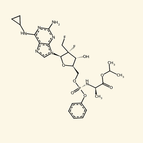 CC(C)OC(=O)[C@@H](C)N[P@](=O)(OC[C@H]1O[C@@H](n2cnc3c(NC4CC4)nc(N)nc32)[C@@](F)(CF)[C@@H]1O)Oc1ccccc1